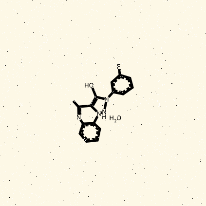 CC1=Nc2ccccc2N2NN(c3cccc(F)c3)C(O)=C12.O